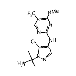 CNc1nc(Nc2cnn(C(C)(C)N)c2Cl)ncc1C(F)(F)F